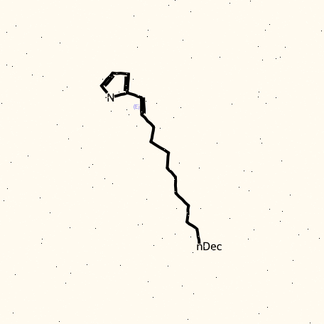 CCCCCCCCCCCCCCCCCCC/C=C/C1=CC=C[N]1